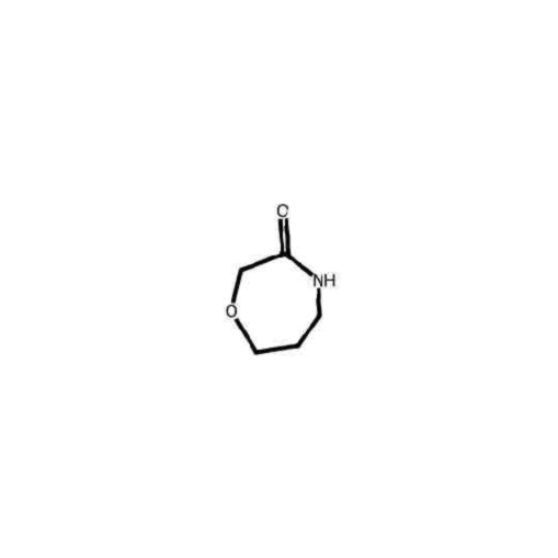 O=C1COCCCN1